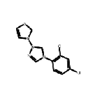 Clc1ccc(N2C=NN(N3C=CSC3)C2)c(Cl)c1